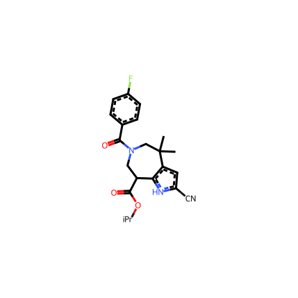 CC(C)OC(=O)C1CN(C(=O)c2ccc(F)cc2)CC(C)(C)c2cc(C#N)[nH]c21